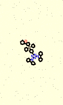 c1ccc([Si](c2ccccc2)(c2ccc(-c3nc(-n4c5ccccc5c5ccccc54)nc(-n4c5ccccc5c5ccccc54)n3)cc2)c2ccc3oc4ccccc4c3c2)cc1